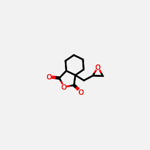 O=C1OC(=O)C2(CC3CO3)CCCCC12